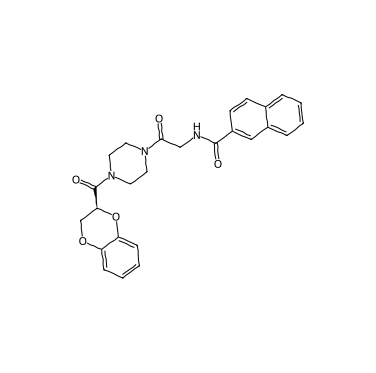 O=C(NCC(=O)N1CCN(C(=O)[C@@H]2COc3ccccc3O2)CC1)c1ccc2ccccc2c1